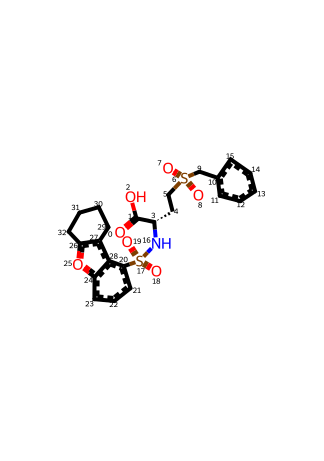 O=C(O)[C@H](CCS(=O)(=O)Cc1ccccc1)NS(=O)(=O)c1cccc2oc3c(c12)CCCC3